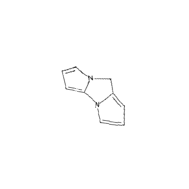 c1cc2n(c1)Cc1cccn1-2